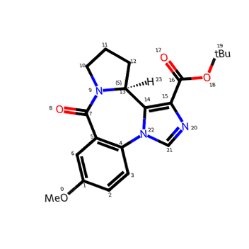 COc1ccc2c(c1)C(=O)N1CCC[C@H]1c1c(C(=O)OC(C)(C)C)ncn1-2